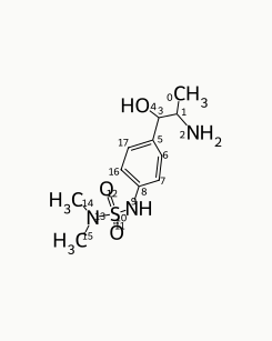 CC(N)C(O)c1ccc(NS(=O)(=O)N(C)C)cc1